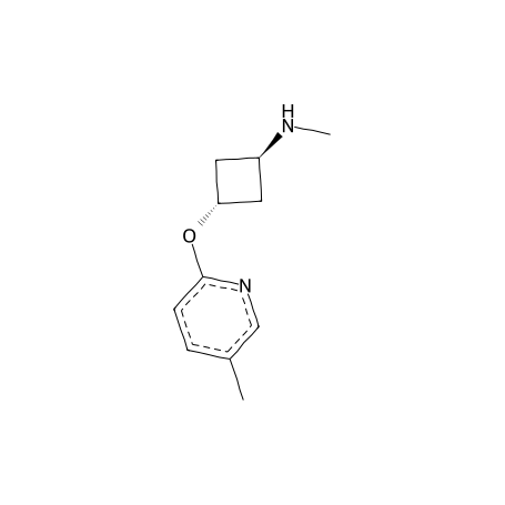 CN[C@H]1C[C@H](Oc2ccc(C)cn2)C1